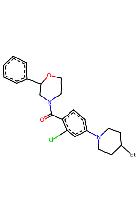 CCC1CCN(c2ccc(C(=O)N3CCOC(c4ccccc4)C3)c(Cl)c2)CC1